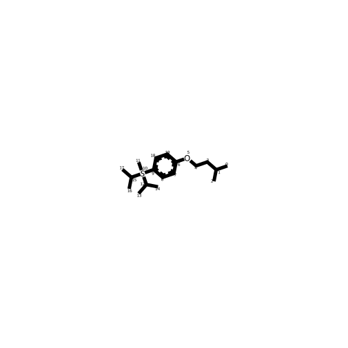 CC(C)CCOc1ccc(S(C)(C(C)C)C(C)C)cc1